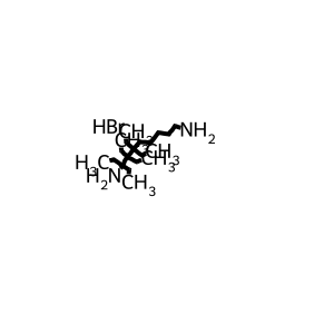 Br.CCC(N)(CC)C(CC)(CC)C(CC)(CC)CCCCCN